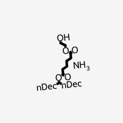 CCCCCCCCCCC(CCCCCCCCCC)OC(=O)CCCCC(=O)OCCO.N